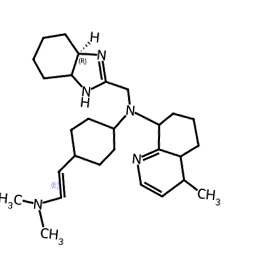 CC1C=CN=C2C1CCCC2N(CC1=N[C@@H]2CCCCC2N1)C1CCC(/C=C/N(C)C)CC1